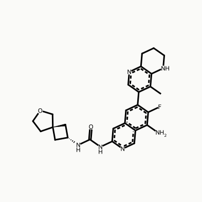 Cc1c(-c2cc3cc(NC(=O)N[C@H]4C[C@]5(CCOC5)C4)ncc3c(N)c2F)cnc2c1NCCC2